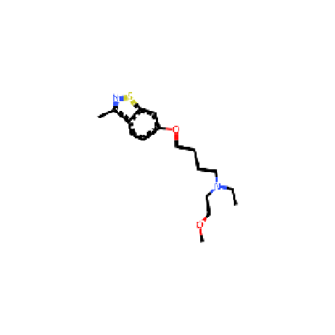 CCN(CCCCOc1ccc2c(C)nsc2c1)CCOC